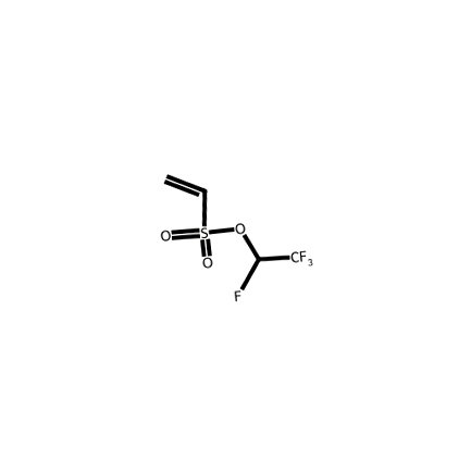 C=CS(=O)(=O)OC(F)C(F)(F)F